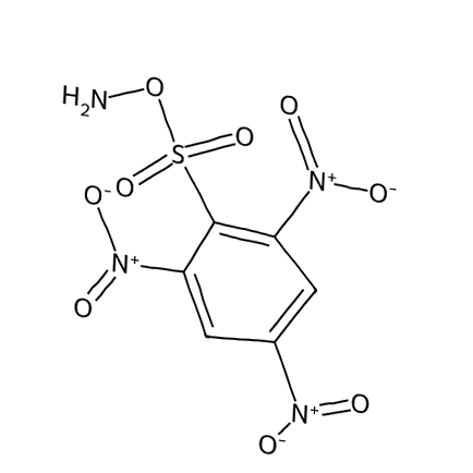 NOS(=O)(=O)c1c([N+](=O)[O-])cc([N+](=O)[O-])cc1[N+](=O)[O-]